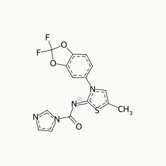 Cc1cn(-c2ccc3c(c2)OC(F)(F)O3)/c(=N/C(=O)n2ccnc2)s1